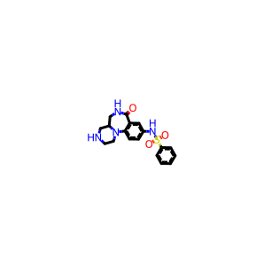 O=C1NCC2CNCCN2c2ccc(NS(=O)(=O)c3ccccc3)cc21